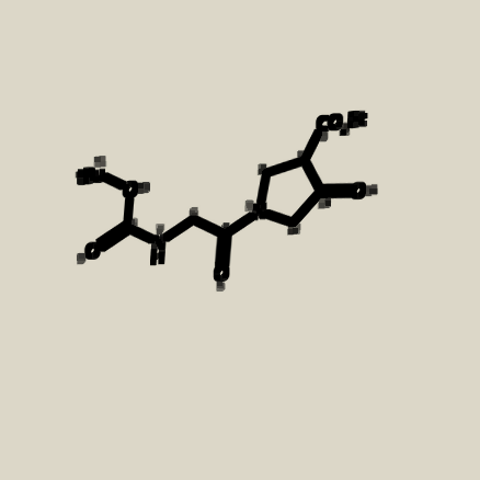 CCOC(=O)C1CN(C(=O)CNC(=O)OC(C)(C)C)CC1=O